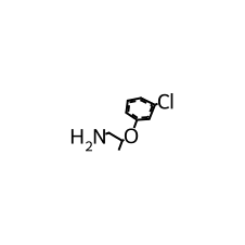 CC(CN)Oc1cccc(Cl)c1